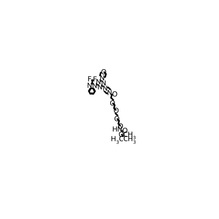 CC(C)(C)OC(=O)NOCCOCCOCCOCCC(=O)N1CCN(c2nc(N3CCOCC3)nc(-n3c(C(F)F)nc4ccccc43)n2)CC1